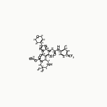 CCc1c(C2CNCC(F)(F)CN2C(=O)OC(C)(C)C)c(=O)n2nc(C3=CCOCC3)nc2n1CC(=O)Nc1ccc(C(F)(F)F)cc1C